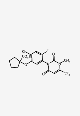 CCOC(=O)C1(Oc2cc(-n3c(=O)cc(C(F)(F)F)n(C)c3=O)c(F)cc2Cl)CCCC1